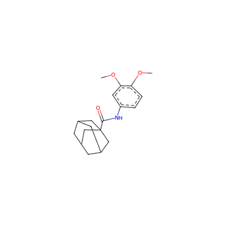 COc1ccc(NC(=O)C23CC4CC(CC(C4)C2)C3)cc1OC